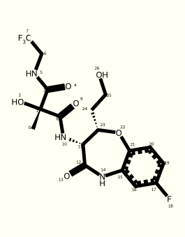 C[C@@](O)(C(=O)NCC(F)(F)F)C(=O)N[C@H]1C(=O)Nc2cc(F)ccc2O[C@H]1CCO